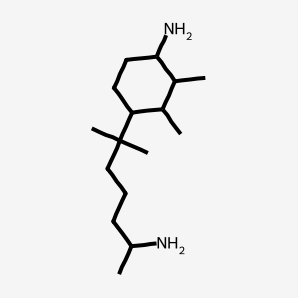 CC(N)CCCC(C)(C)C1CCC(N)C(C)C1C